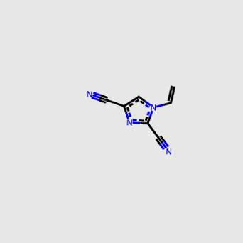 C=Cn1cc(C#N)nc1C#N